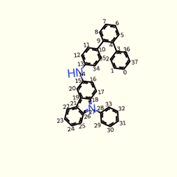 c1ccc(-c2ccccc2-c2ccc(Nc3ccc4c(c3)c3ccccc3n4-c3ccccc3)cc2)cc1